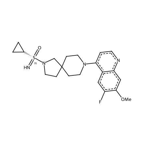 COc1cc2nccc(N3CCC4(CC3)CCN([S@@](=N)(=O)C3CC3)C4)c2cc1F